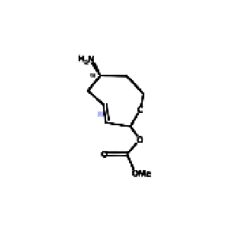 COC(=O)OC1/C=C/C[C@@H](N)CCC1